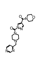 O=C(c1cnn(C(=O)N2CCN(Cc3ccncn3)CC2)c1)N1CCOCC1